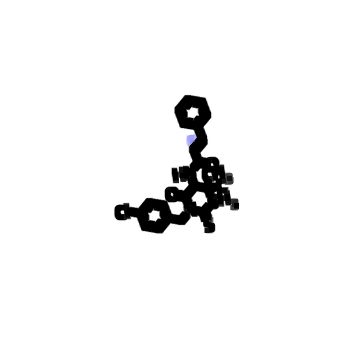 CC1(C)SC(=S)N(Cc2ccc(Cl)cc2)C(=O)C1NC(=O)/C=C/c1ccccc1